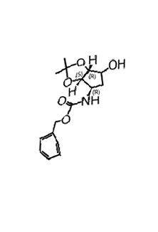 CC1(C)O[C@@H]2[C@H](O1)C(O)C[C@H]2NC(=O)OCc1ccccc1